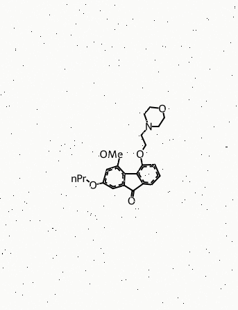 CCCOc1cc(OC)c2c(c1)C(=O)c1cccc(OCCN3CCOCC3)c1-2